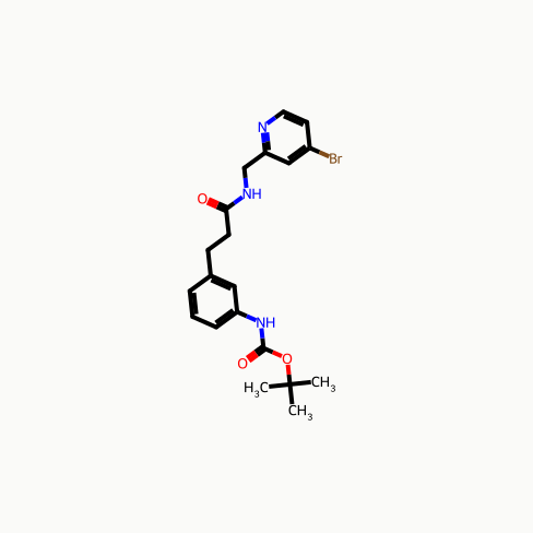 CC(C)(C)OC(=O)Nc1cccc(CCC(=O)NCc2cc(Br)ccn2)c1